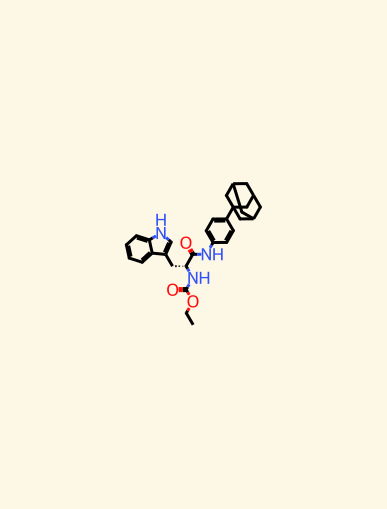 CCOC(=O)N[C@H](Cc1c[nH]c2ccccc12)C(=O)Nc1ccc(C23CC4CC(CC(C4)C2)C3)cc1